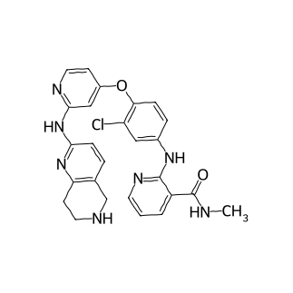 CNC(=O)c1cccnc1Nc1ccc(Oc2ccnc(Nc3ccc4c(n3)CCNC4)c2)c(Cl)c1